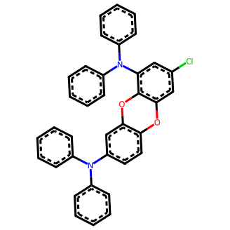 Clc1cc2c(c(N(c3ccccc3)c3ccccc3)c1)Oc1cc(N(c3ccccc3)c3ccccc3)ccc1O2